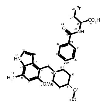 CCO[C@@H]1CCN(Cc2c(OC)cc(C)c3[nH]ccc23)[C@H](c2ccc(C(=O)N[C@@H](CC(C)C)C(=O)O)cc2)C1